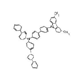 Cc1ccc2c(c1)c1cc(C)ccc1n2-c1ccc(-c2ccc(N(C3=CC=C=C(c4ccccc4)C=C3)c3ccc(C4=CC=C(c5ccccc5)C=CC4)cc3)cc2)cc1